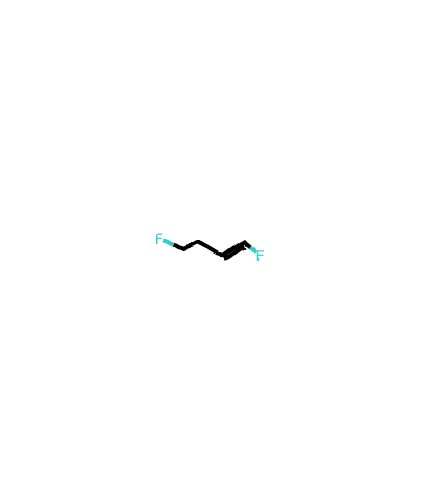 FC=CCCF